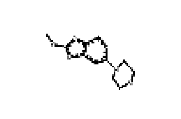 COc1nc2cc(N3CCOCC3)ncc2[nH]1